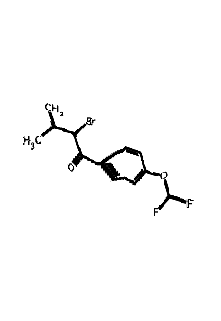 CC(C)C(Br)C(=O)c1ccc(OC(F)F)cc1